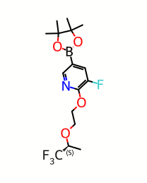 C[C@H](OCCOc1ncc(B2OC(C)(C)C(C)(C)O2)cc1F)C(F)(F)F